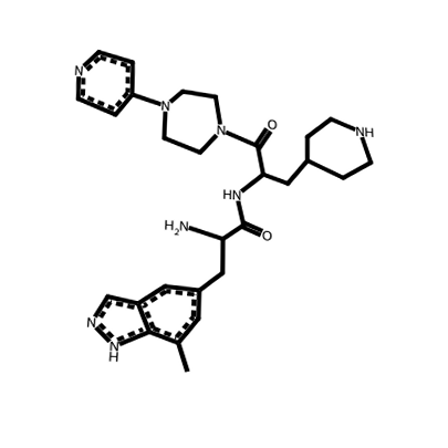 Cc1cc(CC(N)C(=O)NC(CC2CCNCC2)C(=O)N2CCN(c3ccncc3)CC2)cc2cn[nH]c12